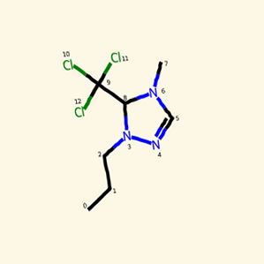 CCCN1N=CN(C)C1C(Cl)(Cl)Cl